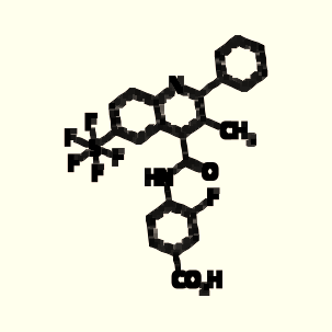 Cc1c(-c2ccccc2)nc2ccc(S(F)(F)(F)(F)F)cc2c1C(=O)Nc1ccc(C(=O)O)cc1F